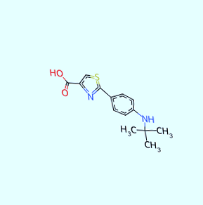 CC(C)(C)Nc1ccc(-c2nc(C(=O)O)cs2)cc1